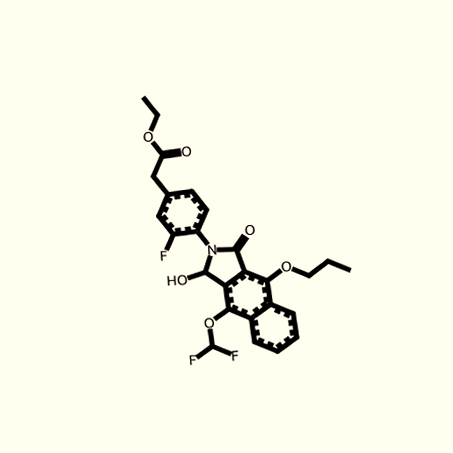 CCCOc1c2c(c(OC(F)F)c3ccccc13)C(O)N(c1ccc(CC(=O)OCC)cc1F)C2=O